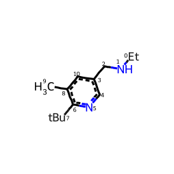 CCNCc1cnc(C(C)(C)C)c(C)c1